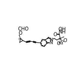 C[C@@](CCn1cc2cc(C#CC#CC3C[C@H]3COC=O)ccc2n1)(C(=O)NO)S(C)(=O)=O